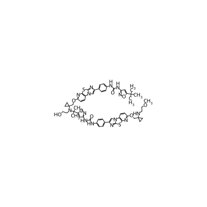 COCCNC1(COc2ccc3c(n2)sc2nc(-c4ccc(NC(=O)Nc5cc(C(C)(C)N(CCO)C6(COc7ccc8c(n7)sc7nc(-c9ccc(NC(=O)Nc%10cc(C(C)(C)C)on%10)cc9)cn78)CC6)on5)cc4)cn23)CC1